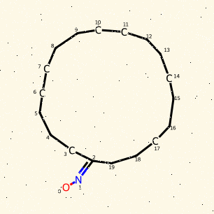 [O]N=C1CCCCCCCCCCCCCCCCC1